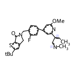 C/C=C(\C=N/C)c1cc(-c2ccc(CN3Cc4cc(C(C)(C)C)sc4C3=O)c(F)c2)cc(OC)n1